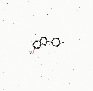 COc1ccc2ccc(-c3ccc(C)cc3)cc2c1